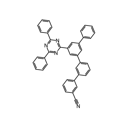 N#Cc1cccc(-c2cccc(-c3cc(-c4ccccc4)cc(-c4nc(-c5ccccc5)nc(-c5ccccc5)n4)c3)c2)c1